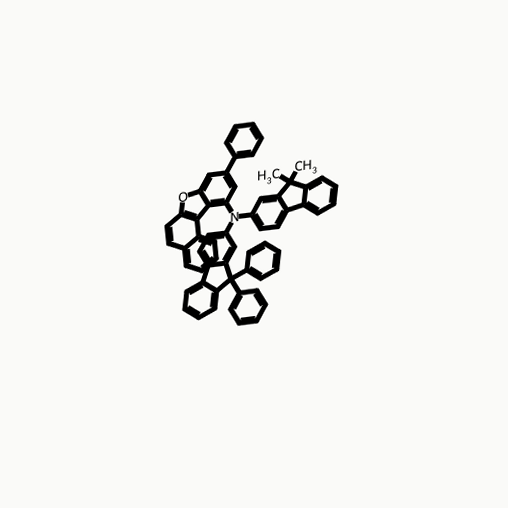 CC1(C)c2ccccc2-c2ccc(N(c3ccc4c(c3)C(c3ccccc3)(c3ccccc3)c3ccccc3-4)c3cc(-c4ccccc4)cc4oc5ccc6ccccc6c5c34)cc21